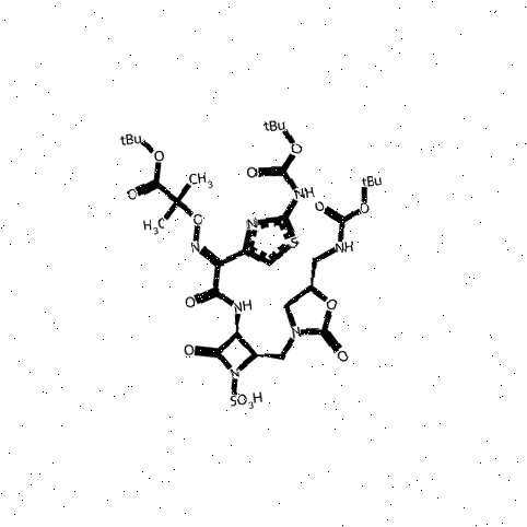 CC(C)(C)OC(=O)NC[C@@H]1CN(C[C@@H]2[C@H](NC(=O)C(=NOC(C)(C)C(=O)OC(C)(C)C)c3csc(NC(=O)OC(C)(C)C)n3)C(=O)N2S(=O)(=O)O)C(=O)O1